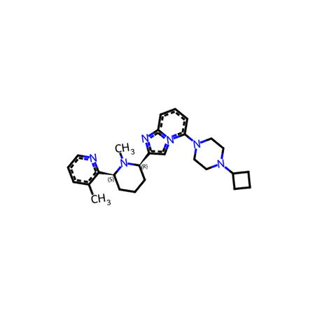 Cc1cccnc1[C@@H]1CCC[C@H](c2cn3c(N4CCN(C5CCC5)CC4)cccc3n2)N1C